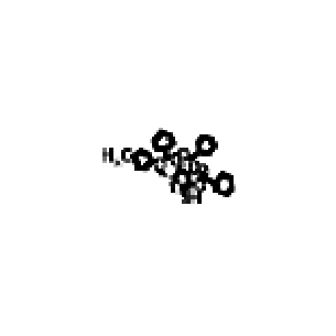 Cc1ccc(OC[C@H]2O[C@@H](S)[C@H](OC(=O)c3ccccc3)[C@@H](OC(=O)c3ccccc3)[C@H]2OCc2ccccc2)cc1